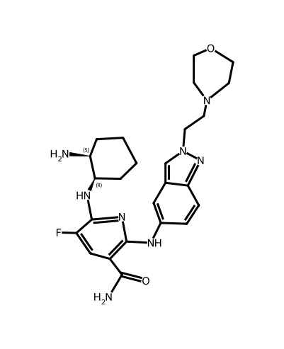 NC(=O)c1cc(F)c(N[C@@H]2CCCC[C@@H]2N)nc1Nc1ccc2nn(CCN3CCOCC3)cc2c1